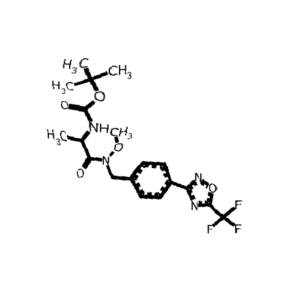 CON(Cc1ccc(-c2noc(C(F)(F)F)n2)cc1)C(=O)C(C)NC(=O)OC(C)(C)C